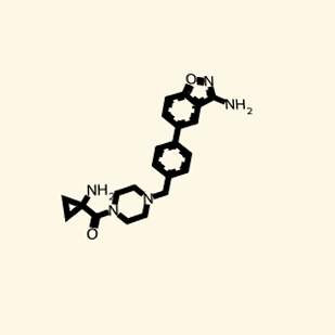 Nc1noc2ccc(-c3ccc(CN4CCN(C(=O)C5(N)CC5)CC4)cc3)cc12